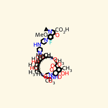 COc1c(N2CCC(NC3CCN(C(=O)O[C@H]4[C@H](C)[C@H](O)[C@H](C)[C@@H](O)[C@@H](C)/C=C/C=C(/C)C(=O)NC5=C(N6CCOCC6)C(=O)c6c(c(O)c(C)c7c6C(=O)[C@@](C)(O/C=C/[C@H](OC)[C@H]4C)O7)C5=O)CC3)CC2)c(F)cc2c(=O)c(C(=O)O)cn(C3CC3)c12